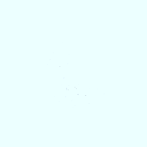 CCOc1c(F)c(-c2ccccc2)nn1CCOc1ccc(Br)cc1Cl